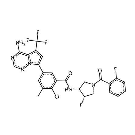 Cc1cc(-c2cc(C(F)(F)F)c3c(N)ncnn23)cc(C(=O)N[C@@H]2CN(C(=O)c3ccccc3F)C[C@@H]2F)c1Cl